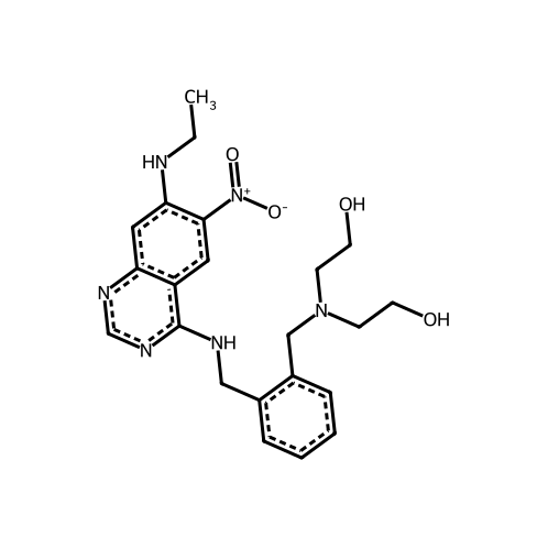 CCNc1cc2ncnc(NCc3ccccc3CN(CCO)CCO)c2cc1[N+](=O)[O-]